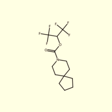 O=C(OC(C(F)(F)F)C(F)(F)F)N1CCC2(CCCC2)CC1